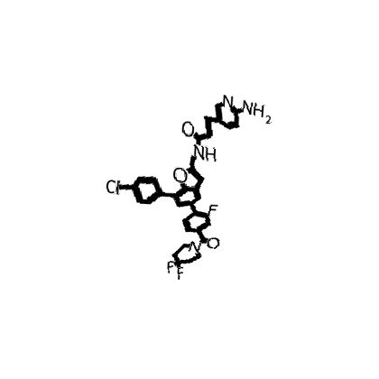 Nc1ccc(C=CC(=O)NCc2cc3cc(-c4ccc(C(=O)N5CCC(F)(F)CC5)cc4F)cc(-c4ccc(Cl)cc4)c3o2)cn1